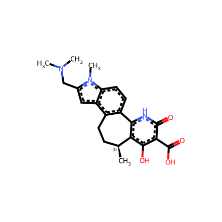 C[C@H]1CCc2c(ccc3c2cc(CN(C)C)n3C)-c2[nH]c(=O)c(C(=O)O)c(O)c21